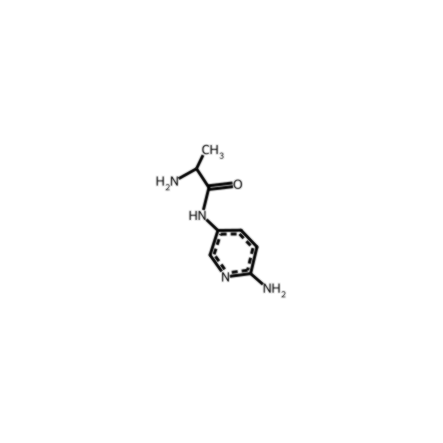 CC(N)C(=O)Nc1ccc(N)nc1